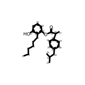 CCCCCCc1c(O)cccc1OC(=O)C(C)c1ccc(CC(C)C)cc1